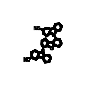 N#Cc1ccc2c(c1)c1ccccc1n2-c1cccc2c1oc1cccc(-n3c4ccccc4c4cc(C#N)ccc43)c12